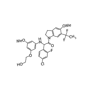 COc1cc(NC(C(=O)N2CCc3cc(OC)c(C(C)(F)F)cc32)c2ccc(Cl)cc2F)cc(OCCO)c1